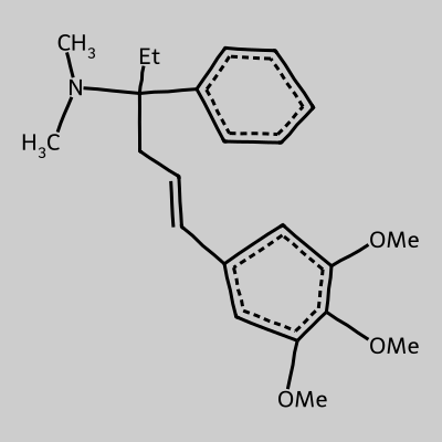 CCC(CC=Cc1cc(OC)c(OC)c(OC)c1)(c1ccccc1)N(C)C